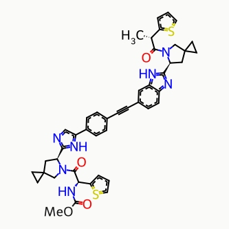 COC(=O)N[C@@H](C(=O)N1CC2(CC2)C[C@H]1c1ncc(-c2ccc(C#Cc3ccc4nc([C@@H]5CC6(CC6)CN5C(=O)[C@H](C)c5cccs5)[nH]c4c3)cc2)[nH]1)c1cccs1